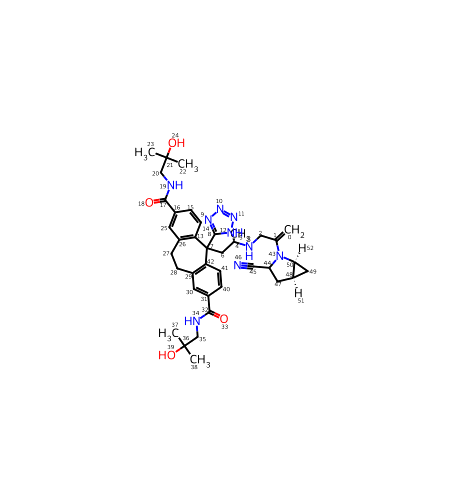 C=C(CN[C@H](C)CC1(c2nnn[nH]2)c2ccc(C(=O)NCC(C)(C)O)cc2CCc2cc(C(=O)NCC(C)(C)O)ccc21)N1C(C#N)C[C@@H]2C[C@@H]21